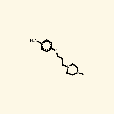 CN1CCN(CCCSc2ccc(N)cc2)CC1